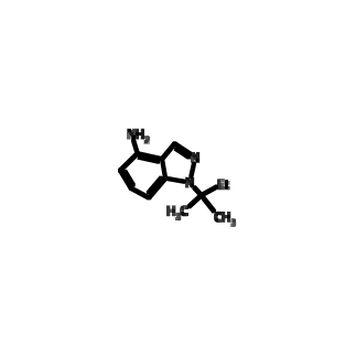 CCC(C)(C)n1ncc2c(N)cccc21